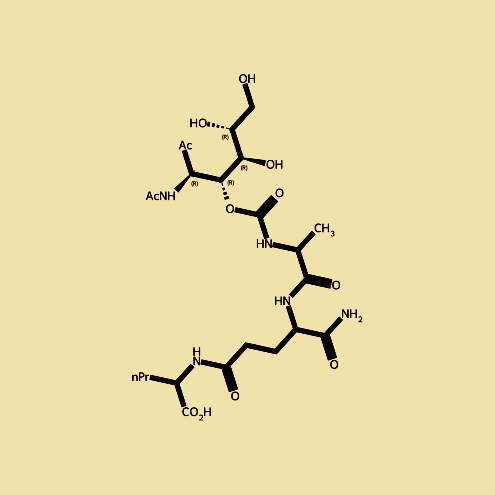 CCCC(NC(=O)CCC(NC(=O)C(C)NC(=O)O[C@@H]([C@H](O)[C@H](O)CO)[C@@H](NC(C)=O)C(C)=O)C(N)=O)C(=O)O